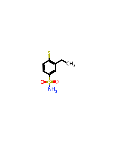 CCc1cc(S(N)(=O)=O)ccc1[S]